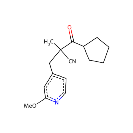 COc1cc(CC(C)(C#N)C(=O)C2CCCC2)ccn1